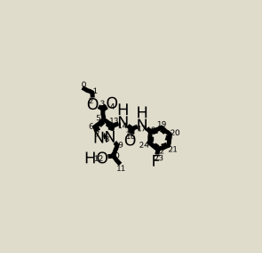 CCOC(=O)c1cnn(CC(C)O)c1NC(=O)Nc1cccc(F)c1